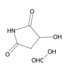 O=C1CC(O)C(=O)N1.O=CO